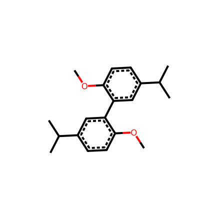 COc1ccc(C(C)C)cc1-c1cc(C(C)C)ccc1OC